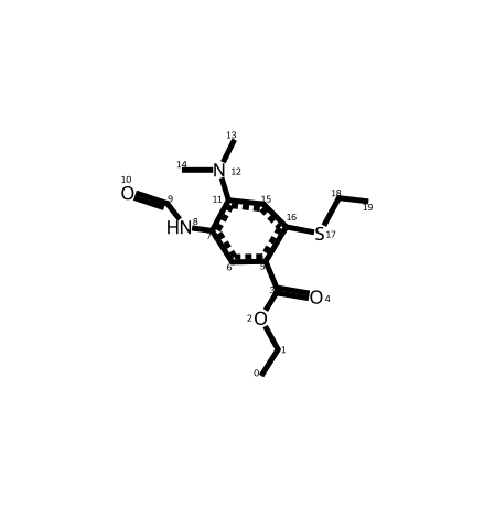 CCOC(=O)c1cc(NC=O)c(N(C)C)cc1SCC